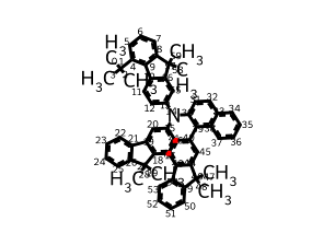 CC(C)(C)c1cccc2c1-c1ccc(N(c3ccc4c(c3)-c3ccccc3C4(C)C)c3ccc4ccccc4c3-c3ccc4c(c3)C(C)(C)c3ccccc3-4)cc1C2(C)C